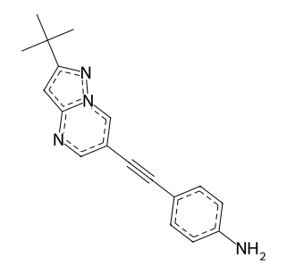 CC(C)(C)c1cc2ncc(C#Cc3ccc(N)cc3)cn2n1